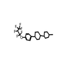 CC1CCC(C2CCC(c3ccc(OC(F)(F)C(F)C(F)(F)F)cc3)CC2)CC1